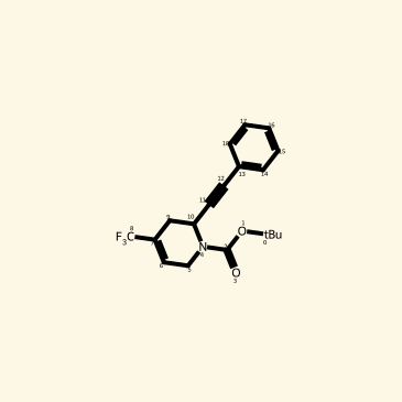 CC(C)(C)OC(=O)N1CC=C(C(F)(F)F)CC1C#Cc1ccccc1